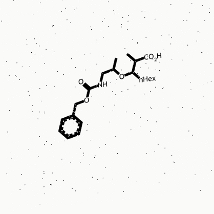 CCCCCCC(OC(C)CNC(=O)OCc1ccccc1)C(C)C(=O)O